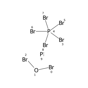 BrOBr.BrP(Br)(Br)(Br)Br.[P]